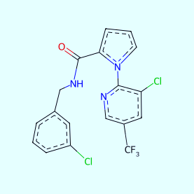 O=C(NCc1cccc(Cl)c1)c1cccn1-c1ncc(C(F)(F)F)cc1Cl